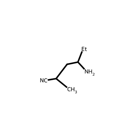 CCC(N)CC(C)C#N